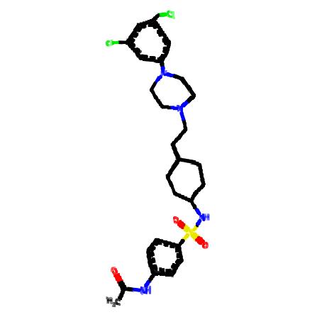 CC(=O)Nc1ccc(S(=O)(=O)NC2CCC(CCN3CCN(c4cc(Cl)cc(Cl)c4)CC3)CC2)cc1